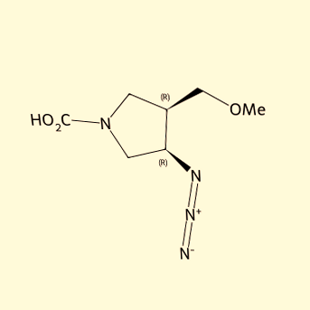 COC[C@@H]1CN(C(=O)O)C[C@@H]1N=[N+]=[N-]